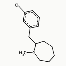 CN1CCCCCC1Cc1cccc(Cl)c1